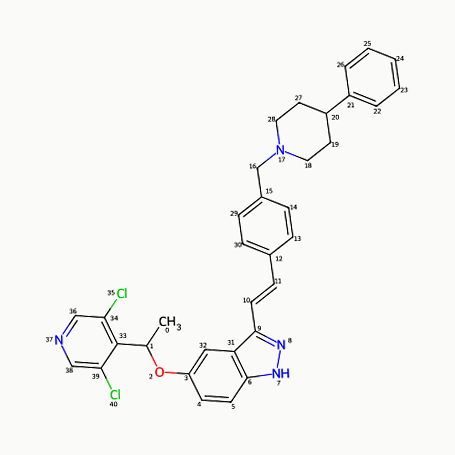 CC(Oc1ccc2[nH]nc(/C=C/c3ccc(CN4CCC(c5ccccc5)CC4)cc3)c2c1)c1c(Cl)cncc1Cl